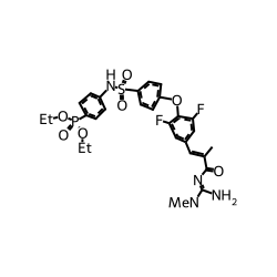 CCOP(=O)(OCC)c1ccc(NS(=O)(=O)c2ccc(Oc3c(F)cc(/C=C(\C)C(=O)/N=C(\N)NC)cc3F)cc2)cc1